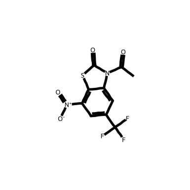 CC(=O)n1c(=O)sc2c([N+](=O)[O-])cc(C(F)(F)F)cc21